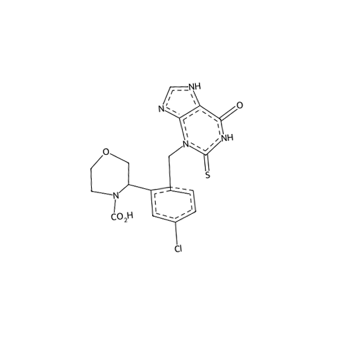 O=C(O)N1CCOCC1c1cc(Cl)ccc1Cn1c(=S)[nH]c(=O)c2[nH]cnc21